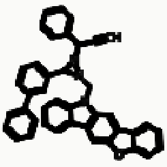 C#CC(c1ccccc1)N1C(c2cccc(-c3ccccc3)c2)[N@]1Cn1c2ccccc2c2cc3oc4ccccc4c3cc21